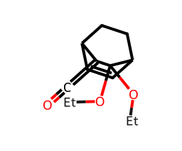 CCOC1(OCC)C(=C=O)C2C=CC1CC2